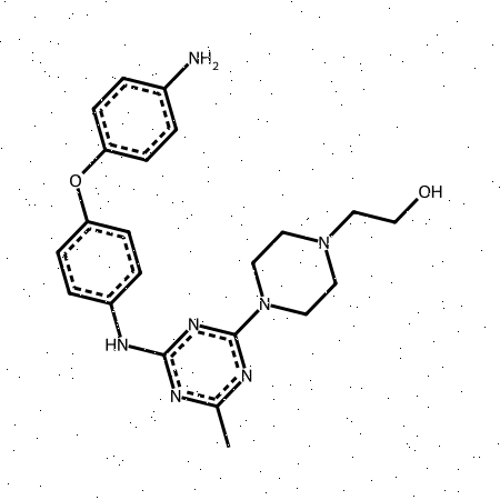 Cc1nc(Nc2ccc(Oc3ccc(N)cc3)cc2)nc(N2CCN(CCO)CC2)n1